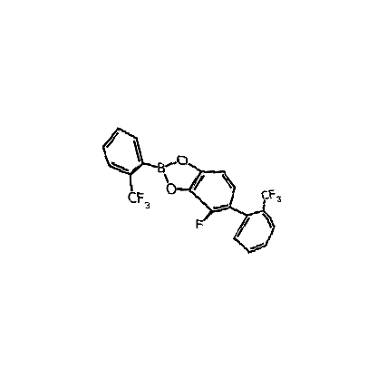 Fc1c(-c2ccccc2C(F)(F)F)ccc2c1OB(c1ccccc1C(F)(F)F)O2